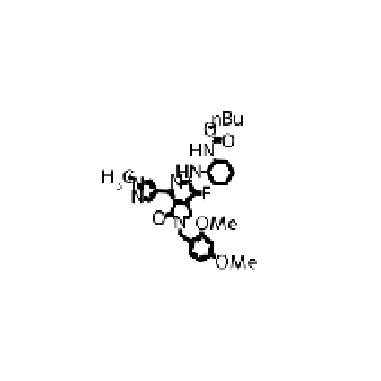 CCCCOC(=O)N[C@@H]1CCCC[C@@H]1Nc1nc(-c2cnn(C)c2)c2c(c1F)CN(Cc1ccc(OC)cc1OC)C2=O